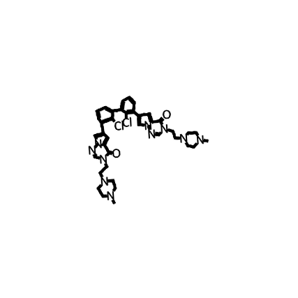 CN1CCN(CCn2cnn3cc(-c4cccc(-c5cccc(-c6cc7c(=O)n(CCN8CCN(C)CC8)cnn7c6)c5Cl)c4Cl)cc3c2=O)CC1